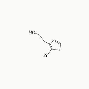 OCCC1=[C]([Zr])CC=C1